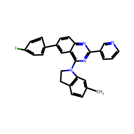 Cc1ccc2c(c1)N(c1nc(-c3cccnc3)nc3ccc(-c4ccc(F)cc4)cc13)CC2